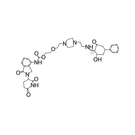 O=C1CCC(N2Cc3c(NC(=O)OCCOCCN4CCN(CCN/C=C5\C(=O)CC(c6ccccc6)CC5O)CC4)cccc3C2=O)C(=O)N1